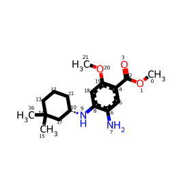 COC(=O)c1cc(N)c(N[C@H]2CCCC(C)(C)C2)cc1OC